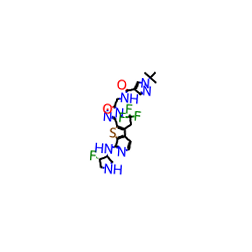 CC(C)(C)n1cc(C(=O)NCc2nc(-c3sc4c(N[C@@H]5CNC[C@@H]5F)nccc4c3CC(F)(F)F)no2)cn1